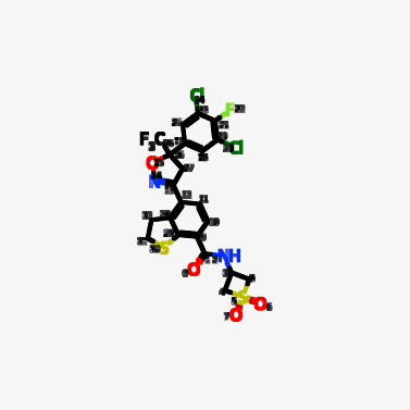 O=C(NC1CS(=O)(=O)C1)c1ccc(C2=NOC(c3cc(Cl)c(F)c(Cl)c3)(C(F)(F)F)C2)c2c1SCC2